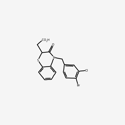 O=C(O)CC1Sc2ccccc2N(Cc2ccc(Br)c(Cl)c2)C1=O